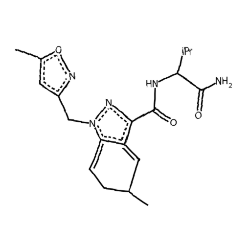 Cc1cc(Cn2nc(C(=O)NC(C(N)=O)C(C)C)c3c2=CCC(C)C=3)no1